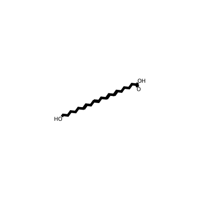 O=C(O)CCCCC=CC=CCC=CCC=CCCCCCO